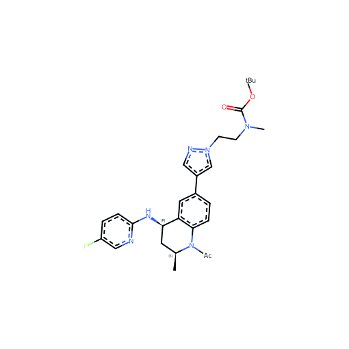 CC(=O)N1c2ccc(-c3cnn(CCN(C)C(=O)OC(C)(C)C)c3)cc2[C@H](Nc2ccc(F)cn2)C[C@@H]1C